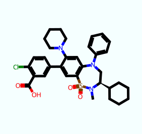 CN1[C@H](C2CCCCC2)CN(c2ccccc2)c2cc(N3CCCCC3)c(-c3ccc(Cl)c(C(=O)O)c3)cc2S1(=O)=O